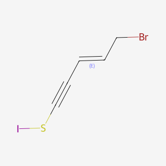 BrC/C=C/C#CSI